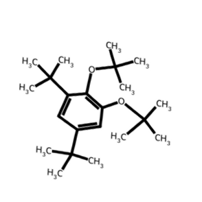 CC(C)(C)Oc1cc(C(C)(C)C)cc(C(C)(C)C)c1OC(C)(C)C